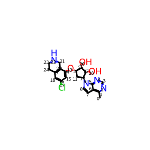 Cc1ncnc2c1ccn2[C@@H]1C[C@H](Oc2cc(Cl)cc3c2CNCC3)[C@@H](O)[C@H]1O